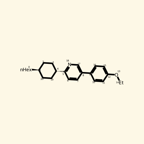 CCCCCC[C@H]1CC[C@H](c2ccc(-c3ccc(OCC)cc3)cn2)CC1